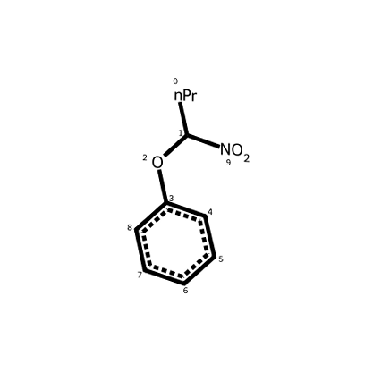 CCCC(Oc1ccccc1)[N+](=O)[O-]